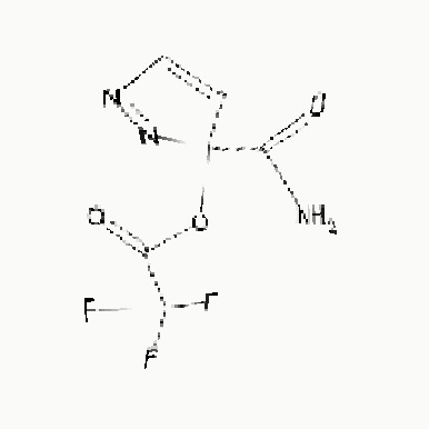 NC(=O)C1(OC(=O)C(F)(F)F)C=CN=N1